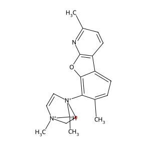 Cc1ccc2c(n1)oc1c([N+]34C=C[N+](C)(CC3)[C@@H]4C)c(C)ccc12